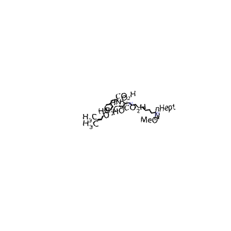 CCCCCCC/C(CCCCCC/C=C/[C@H](C(=O)N[C@@H](Cc1ccc(OCC=C(C)C)cc1)C(=O)O)[C@@](O)(CC(=O)O)C(=O)O)=N/OC